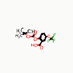 CC(C)(C)OC(=O)Oc1ccc(OC(F)(F)F)cc1C(=O)O